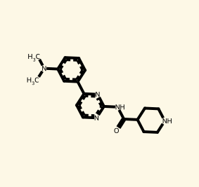 CN(C)c1cccc(-c2ccnc(NC(=O)C3CCNCC3)n2)c1